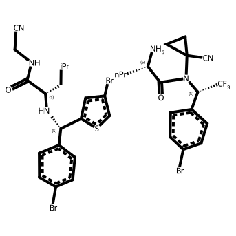 CC(C)C[C@H](N[C@@H](c1ccc(Br)cc1)c1cc(Br)cs1)C(=O)NCC#N.CCC[C@H](N)C(=O)N([C@@H](c1ccc(Br)cc1)C(F)(F)F)C1(C#N)CC1